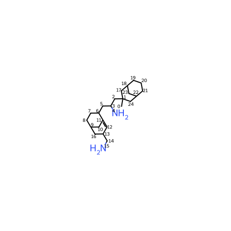 CC1(CC(N)CC2CCC3CC2=CC(CN)C3)CC2CCCC(C2)C1